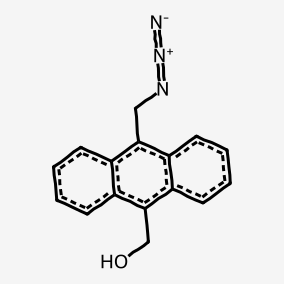 [N-]=[N+]=NCc1c2ccccc2c(CO)c2ccccc12